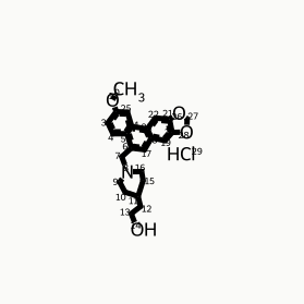 COc1ccc2c(CN3CCC(CCO)CC3)cc3cc4c(cc3c2c1)OCO4.Cl